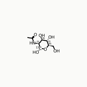 CC(=O)N[C@H]1[C@@H](O)[C@H](O)[C@@H](CO)O[13CH]1O